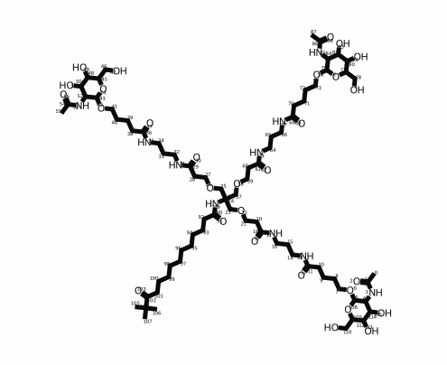 CC(=O)NC1C(OCCCCC(=O)NCCCNC(=O)CCOCC(COCCC(=O)NCCCNC(=O)CCCCOC2OC(CO)C(O)C(O)C2NC(C)=O)(COCCC(=O)NCCCNC(=O)CCCCOC2OC(CO)C(O)C(O)C2NC(C)=O)NC(=O)CCCCCCCCCCC(=O)C(C)(C)C)OC(CO)C(O)C1O